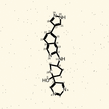 OC1(c2cncnc2)CCC(Nc2cc3cc(-c4cn[nH]c4)ccc3cn2)CC1